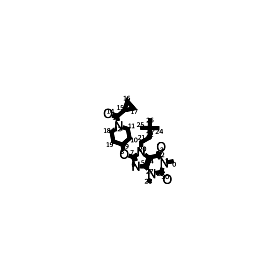 Cn1c(=O)c2c(nc(OC3CCN(C(=O)C4CC4)CC3)n2CCC(C)(C)C)n(C)c1=O